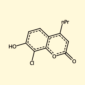 CCCc1cc(=O)oc2c(Cl)c(O)ccc12